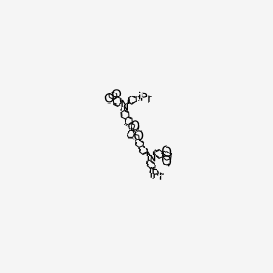 CC(C)c1ccc(N(c2ccc3c(c2)OCCO3)c2ccc3cc4c(cc3c2)oc2c4ccc3c4cc5ccc(N(c6ccc(C(C)C)cc6)c6ccc7c(c6)OCCO7)cc5cc4oc32)cc1